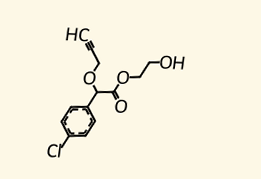 C#CCOC(C(=O)OCCO)c1ccc(Cl)cc1